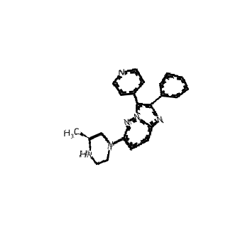 C[C@H]1CN(c2ccc3nc(-c4ccccc4)c(-c4ccncc4)n3n2)CCN1